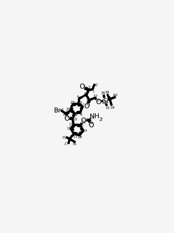 CCC(=O)C(Cc1ccc2c(-c3cc(C(C)(C)C)ccc3OC(N)=O)oc(Br)c2c1)C(=O)CO[Si](C)(C)C(C)(C)C